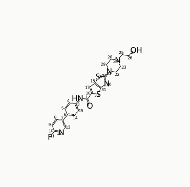 O=C(Nc1ccc(-c2ccc(F)nc2)cc1)c1cc2sc(N3CCN(CCO)CC3)nc2s1